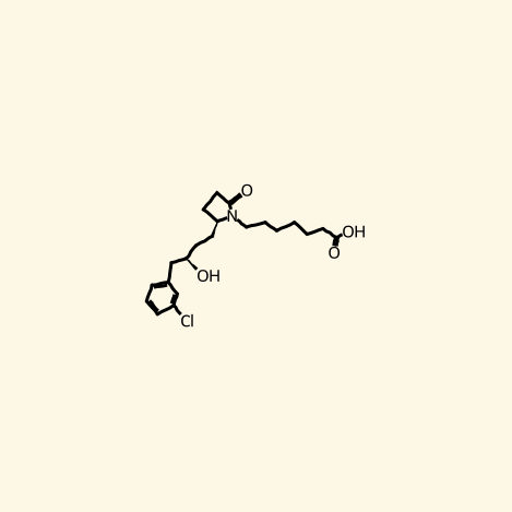 O=C(O)CCCCCCN1C(=O)CC[C@@H]1CC[C@@H](O)Cc1cccc(Cl)c1